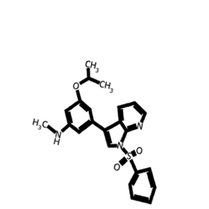 CNc1cc(OC(C)C)cc(-c2cn(S(=O)(=O)c3ccccc3)c3ncccc23)c1